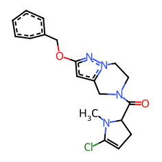 CN1C(Cl)=CCC1C(=O)N1CCn2nc(OCc3ccccc3)cc2C1